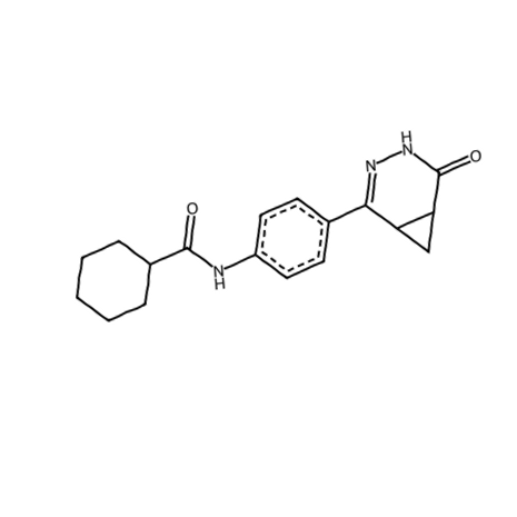 O=C(Nc1ccc(C2=NNC(=O)C3CC23)cc1)C1CCCCC1